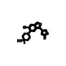 CC1(O)CCN(c2cc3c(cnn3-c3cn[nH]c3)cc2Cl)CC1